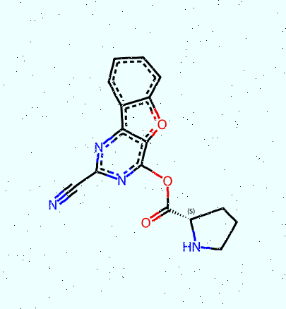 N#Cc1nc(OC(=O)[C@@H]2CCCN2)c2oc3ccccc3c2n1